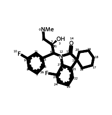 CNC[C@@H](O)C(c1cccc(F)c1)N1C(=O)C2(CCCCC2)c2cccc(F)c21